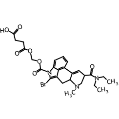 CCN(CC)C(=O)C1C=C2c3cccc4c3c(c(Br)n4C(=O)OCOC(=O)CCC(=O)O)CC2N(C)C1